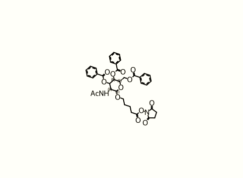 CC(=O)N[C@@H]1C(OC(=O)c2ccccc2)[C@@H](OC(=O)c2ccccc2)[C@@H](COC(=O)c2ccccc2)O[C@H]1OCCCCC(=O)ON1C(=O)CCC1=O